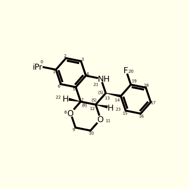 CC(C)c1ccc2c(c1)[C@H]1OCCO[C@H]1[C@H](c1ccccc1F)N2